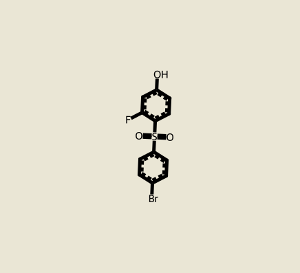 O=S(=O)(c1ccc(Br)cc1)c1ccc(O)cc1F